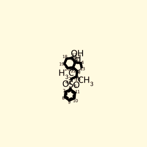 C[C@H](CS(=O)(=O)c1ccccc1)[C@H]1CC[C@H]2[C@@H](O)CCC[C@]12C